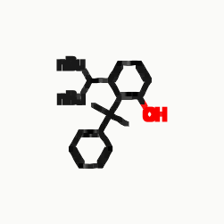 CCCCC(CCCC)c1cccc(O)c1C(C)(C)c1ccccc1